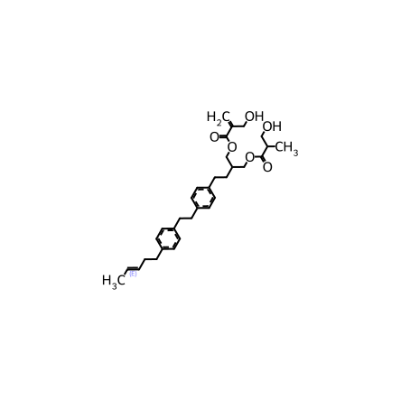 C=C(CO)C(=O)OCC(CCc1ccc(CCc2ccc(CC/C=C/C)cc2)cc1)COC(=O)C(C)CO